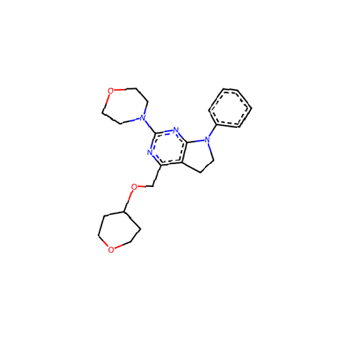 c1ccc(N2CCc3c(COC4CCOCC4)nc(N4CCOCC4)nc32)cc1